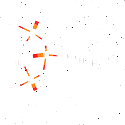 O=P(O)(O)OP(=O)(O)OP(=O)(O)O.[CaH2].[CaH2].[CaH2].[CaH2].[CaH2]